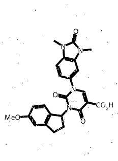 COc1ccc2c(c1)CCC2n1c(=O)c(C(=O)O)cn(-c2ccc3c(c2)n(C)c(=O)n3C)c1=O